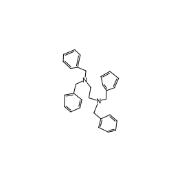 c1ccc(CN(CCN(Cc2ccccc2)Cc2ccccc2)Cc2ccccc2)cc1